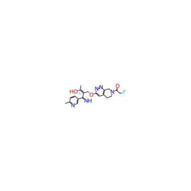 C/C(O)=C(\COc1cc2c(nn1)CN(C(=O)CF)CC2)C(=N)c1ccc(C)nc1